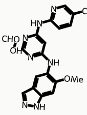 COc1cc2[nH]ncc2cc1Nc1cc(Nc2ccc(Cl)cn2)ncn1.O=CO